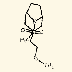 COCCS(=O)(=O)N1C2CCC1CC(C)C2